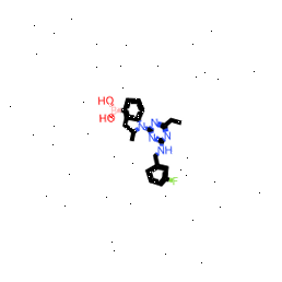 CCc1nc(NCc2cccc(F)c2)nc(N2c3cccc(B(O)O)c3CC2C)n1